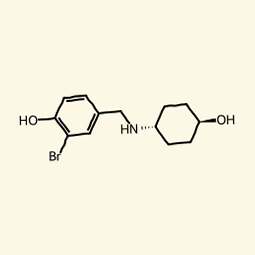 Oc1ccc(CN[C@H]2CC[C@H](O)CC2)cc1Br